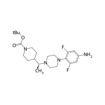 C[C@@H](C1CCN(C(=O)OC(C)(C)C)CC1)N1CCN(c2c(F)cc(N)cc2F)CC1